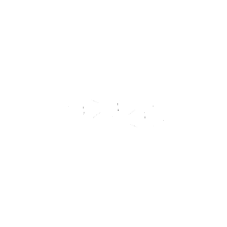 CCOC(=O)c1ccc(OC(=O)c2ccc3c(c2)C(C)(C)CC(C)(C)O3)cc1